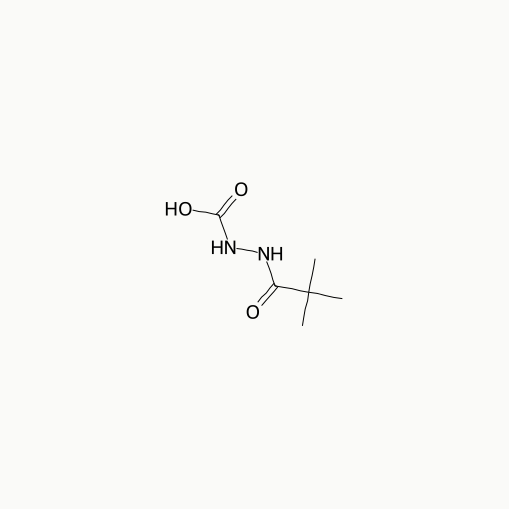 CC(C)(C)C(=O)NNC(=O)O